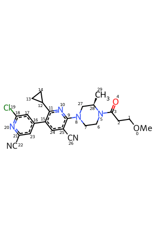 COCCC(=O)N1CCN(c2nc(C3CC3)c(-c3cc(Cl)nc(C#N)c3)cc2C#N)C[C@H]1C